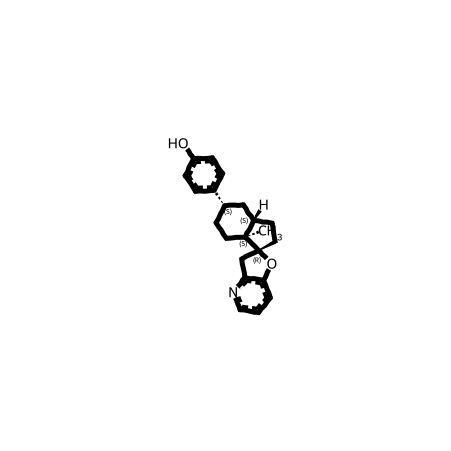 C[C@]12CC[C@H](c3ccc(O)cc3)C[C@@H]1CC[C@@]21Cc2ncccc2O1